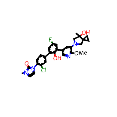 COc1ncc(-c2cc(F)cc(-c3ccc(-n4c#cn(C)c4=O)c(Cl)c3)c2O)cc1N1CC(C)(O)C2(CC2)C1